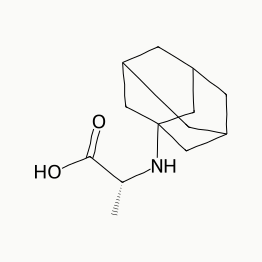 C[C@@H](NC12CC3CC(CC(C3)C1)C2)C(=O)O